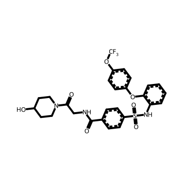 O=C(NCC(=O)N1CCC(O)CC1)c1ccc(S(=O)(=O)Nc2ccccc2Oc2ccc(OC(F)(F)F)cc2)cc1